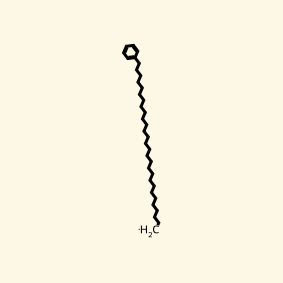 [CH2]CCCCCCCCCCCCCCCCCCCCCCCCCCCc1ccccc1